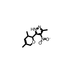 CC1=CC(C)C(c2[nH]nc(C)c2[N+](=O)[O-])OC1